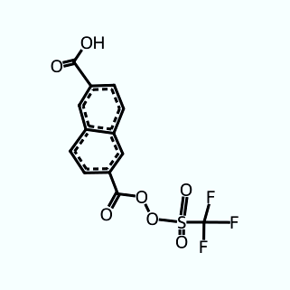 O=C(O)c1ccc2cc(C(=O)OOS(=O)(=O)C(F)(F)F)ccc2c1